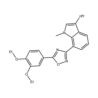 CCCc1cn(C)c2c(-c3noc(-c4ccc(OCC)c(OCC)c4)n3)cccc12